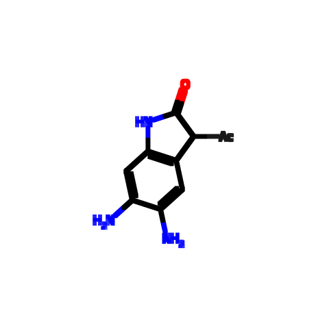 CC(=O)C1C(=O)Nc2cc(N)c(N)cc21